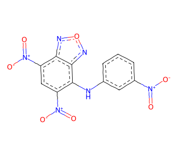 O=[N+]([O-])c1cccc(Nc2c([N+](=O)[O-])cc([N+](=O)[O-])c3nonc23)c1